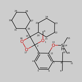 COC1(c2cccc(C(C)(C)C)c2O[SiH](C)C)OOC1(C1CCCCC1)C1CCCCC1